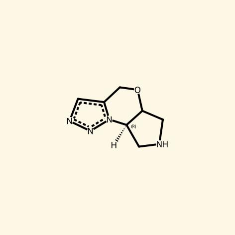 c1nnn2c1COC1CNC[C@H]12